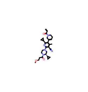 C=CC(=O)N1CCC=C(c2c(C3CC3)nc(N3CCN(C(=O)CCOC)[C@H](C4CC4)C3)c(C#N)c2C)C1